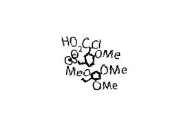 C=Cc1c(OC)cc(OC)cc1OC.COc1ccc(C=S(=O)=O)cc1C(Cl)C(=O)O